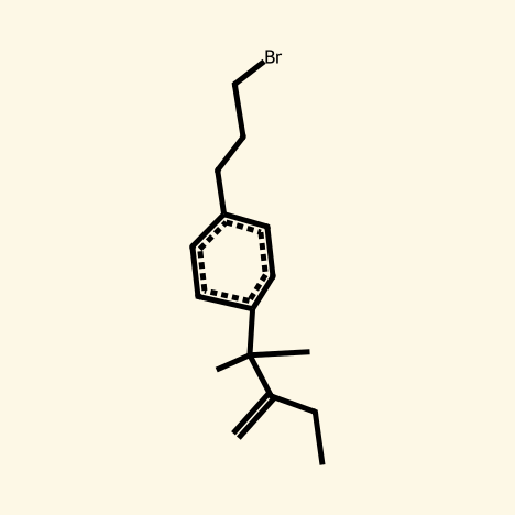 C=C(CC)C(C)(C)c1ccc(CCCBr)cc1